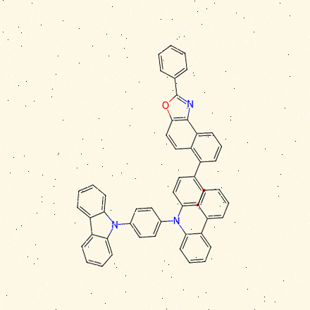 c1ccc(-c2nc3c(ccc4c(-c5ccc(N(c6ccc(-n7c8ccccc8c8ccccc87)cc6)c6ccccc6-c6ccccc6)cc5)cccc43)o2)cc1